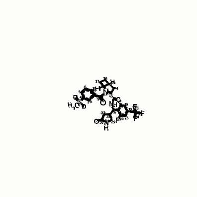 CS(=O)(=O)c1cccc(C(=O)N2[C@@H](C(=O)NC(c3ccc(C(F)(F)F)cc3F)C3CNC(=O)C3)C[C@H]3CC[C@H]32)c1